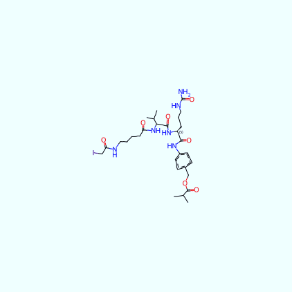 CC(C)C(=O)OCc1ccc(NC(=O)[C@H](CCCNC(N)=O)NC(=O)C(NC(=O)CCCCNC(=O)CI)C(C)C)cc1